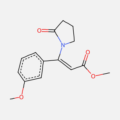 COC(=O)C=C(c1cccc(OC)c1)N1CCCC1=O